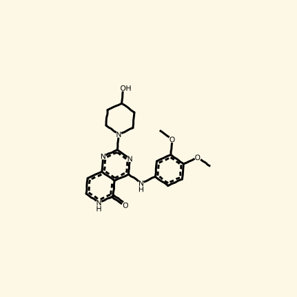 COc1ccc(Nc2nc(N3CCC(O)CC3)nc3cc[nH]c(=O)c23)cc1OC